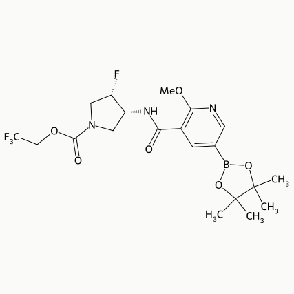 COc1ncc(B2OC(C)(C)C(C)(C)O2)cc1C(=O)N[C@@H]1CN(C(=O)OCC(F)(F)F)C[C@@H]1F